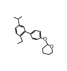 CCc1ccc(C(C)C)cc1-c1ccc(OC2CCCCO2)cc1